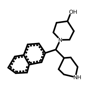 OC1CCN(C(c2ccc3ccccc3c2)C2CCNCC2)CC1